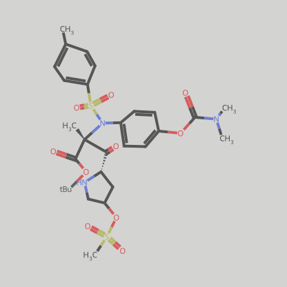 Cc1ccc(S(=O)(=O)N(c2ccc(OC(=O)N(C)C)cc2)[C@@](C)(C(=O)OC(C)(C)C)C(=O)[C@@H]2CC(OS(C)(=O)=O)CN2)cc1